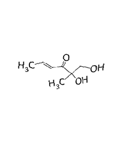 CC=CC(=O)C(C)(O)CO